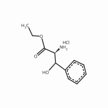 CCOC(=O)[C@@H](N)C(O)c1ccccc1.Cl